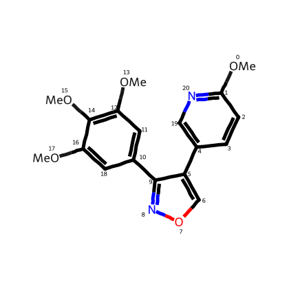 COc1ccc(-c2conc2-c2cc(OC)c(OC)c(OC)c2)cn1